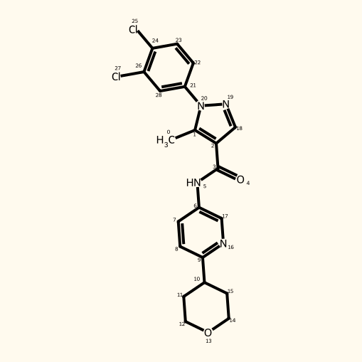 Cc1c(C(=O)Nc2ccc(C3CCOCC3)nc2)cnn1-c1ccc(Cl)c(Cl)c1